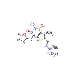 CCn1c(=O)c2c(C)c(C=NN(C(=O)O)C(C)(C)C)sc2n(CC2CCCO2)c1=O